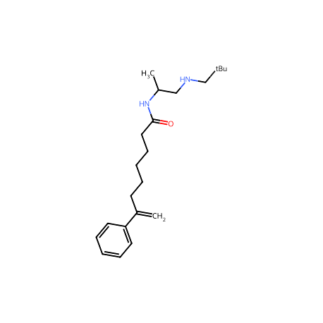 C=C(CCCCCC(=O)NC(C)CNCC(C)(C)C)c1ccccc1